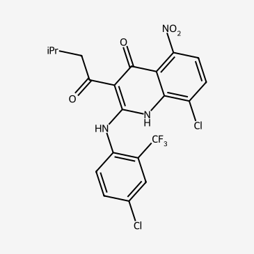 CC(C)CC(=O)c1c(Nc2ccc(Cl)cc2C(F)(F)F)[nH]c2c(Cl)ccc([N+](=O)[O-])c2c1=O